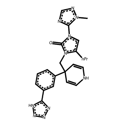 CCCc1cn(-c2ncnn2C)c(=O)n1CC1(c2cccc(-c3nnn[nH]3)c2)C=CNC=C1